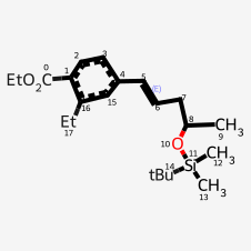 CCOC(=O)c1ccc(/C=C/CC(C)O[Si](C)(C)C(C)(C)C)cc1CC